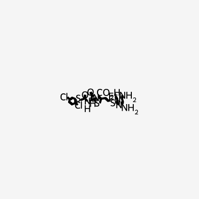 CC[n+]1c(N)cc(N)nc1SCC=CC1=C(C(=O)O)N2C(=O)[C@@H](NC(=O)CSc3cc(Cl)ccc3Cl)[C@H]2SC1